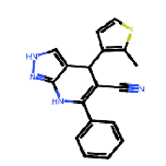 Cc1sccc1C1C(C#N)=C(c2ccccc2)Nc2n[nH]cc21